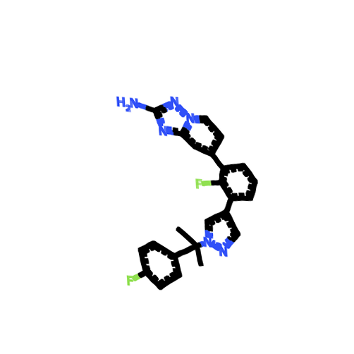 CC(C)(c1ccc(F)cc1)n1cc(-c2cccc(-c3ccn4nc(N)nc4c3)c2F)cn1